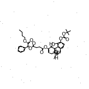 CCCCOC(=O)[C@@H](OC(=O)CCC(=O)OC1=CC[C@@]2(O)[C@H]3Cc4ccc(OC(=O)OC(C)(C)C)c5c4[C@@]2(CCN3C)[C@H]1O5)c1ccccc1